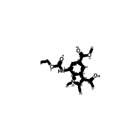 CCOC(=O)Nc1cc(C(=O)OC)cc2c(C(C)=O)c(C)n(C)c12